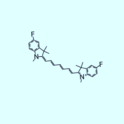 CN1/C(=C/C=C/C=C/C=C/C2=[N+](C)c3ccc(F)cc3C2(C)C)C(C)(C)c2cc(F)ccc21